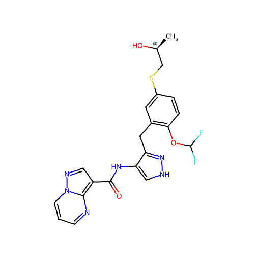 C[C@H](O)CSc1ccc(OC(F)F)c(Cc2n[nH]cc2NC(=O)c2cnn3cccnc23)c1